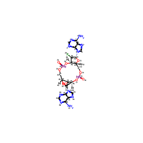 Nc1ncnc2c1ncn2[C@@H]1O[C@@H]2CO[PH](=O)O[C@@H]3[C@H](O)[C@@H](CO[PH](=O)O[C@H]2[C@H]1F)O[C@H]3n1cnc2c(N)ncnc21